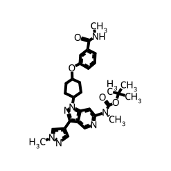 CNC(=O)c1cccc(OC2CCC(n3nc(-c4cnn(C)c4)c4cnc(N(C)C(=O)OC(C)(C)C)cc43)CC2)c1